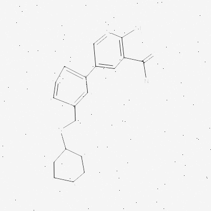 NC(=O)c1cc(-c2cccc(CNC3CCCCC3)c2)cnc1N